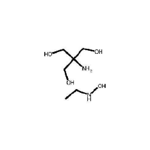 CCNO.NC(CO)(CO)CO